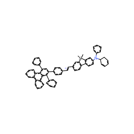 C[Si]1(C)c2cc(/C=C/c3ccc(-c4cc(-c5ccccc5)c5c6ccccc6c6ccccc6c5c4-c4ccccc4)cc3)ccc2-c2ccc(N(c3ccccc3)C3C=CC=CC3)cc21